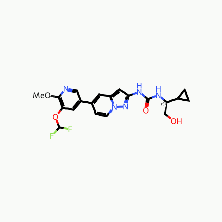 COc1ncc(-c2ccn3nc(NC(=O)N[C@H](CO)C4CC4)cc3c2)cc1OC(F)F